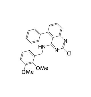 COc1cccc(CNc2nc(Cl)nc3cccc(-c4ccccc4)c23)c1OC